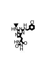 O=C1NC(=O)/C(=C/c2cnn3c(NC4CC4)nc(NCc4cccc(Cl)c4)nc23)N1